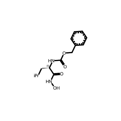 CC(C)C[C@H](NC(=O)OCc1ccccc1)C(=O)NO